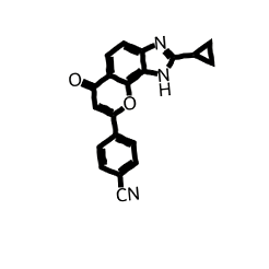 N#Cc1ccc(-c2cc(=O)c3ccc4nc(C5CC5)[nH]c4c3o2)cc1